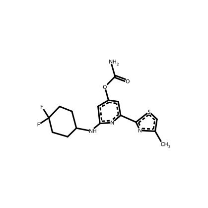 Cc1csc(-c2cc(OC(N)=O)cc(NC3CCC(F)(F)CC3)n2)n1